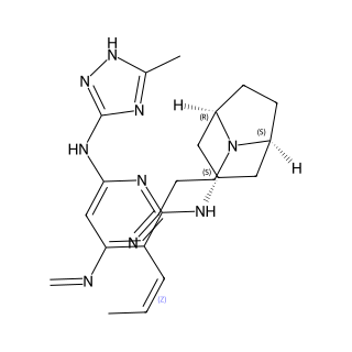 C=Nc1cc(Nc2n[nH]c(C)n2)nc(N[C@@H]2C[C@H]3CC[C@@H](C2)N3CCC#N)c1/C=C\C